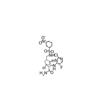 NC(=O)[C@H]1[C@@H]2CC(CNS(=O)(=O)c3cccc([N+](=O)[O-])c3)[C@@H](C2)[C@H]1Nc1nc(Cl)ncc1F